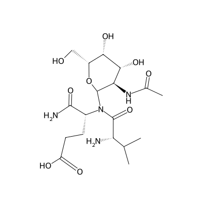 CC(=O)N[C@H]1C(N(C(=O)[C@@H](N)C(C)C)[C@H](CCC(=O)O)C(N)=O)O[C@H](CO)[C@H](O)[C@@H]1O